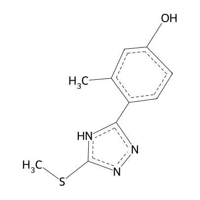 CSc1nnc(-c2ccc(O)cc2C)[nH]1